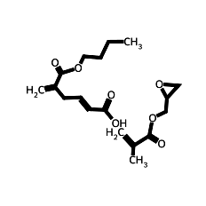 C=C(C)C(=O)OCC1CO1.C=C(CC=CC(=O)O)C(=O)OCCCC